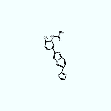 CC(C)(C)C(=O)Nc1cc(-c2cn3nc(-c4nccs4)ccc3n2)ccc1C(F)(F)F